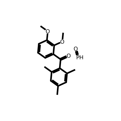 COc1cccc(C(=O)c2c(C)cc(C)cc2C)c1OC.O=P